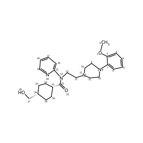 COc1ccccc1N1CCN(CCN(c2ccccn2)C(=O)[C@H]2CC[C@@H](CO)CC2)CC1